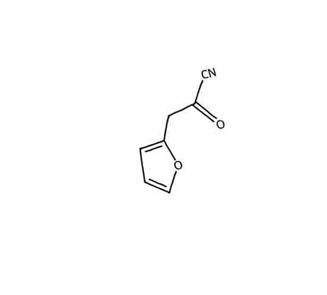 N#CC(=O)Cc1ccco1